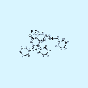 O=c1cc(Nc2ccccc2)n(-c2ccccc2)c2nc(CNCc3ccccc3)cc(C(F)(F)F)c12